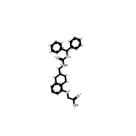 O=C(O)COc1cccc2c1CCC(CNC(=O)OC(c1ccccc1)c1ccccc1)C2